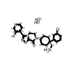 Cl.Cl.NC[C@]1(c2cccc(Cl)c2)CC[C@@H](N2CCn3c(nnc3-c3ccncc3F)C2=O)CC1